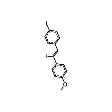 COc1ccc(C(I)=Cc2ccc(I)cc2)cc1